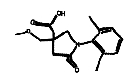 COCC1(C(=O)O)CC(=O)N(c2c(C)cccc2C)C1